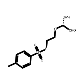 CO[C@H](C=O)OCCOS(=O)(=O)c1ccc(C)cc1